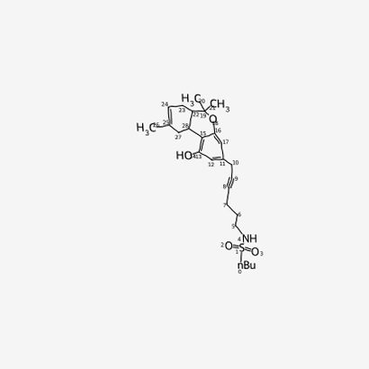 CCCCS(=O)(=O)NCCCC#CCc1cc(O)c2c(c1)OC(C)(C)C1CC=C(C)CC21